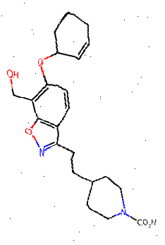 O=C(O)N1CCC(CCc2noc3c(CO)c(OC4C=CCCC4)ccc23)CC1